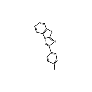 Cc1ccc(-c2cn3c(n2)sc2cnccc23)cc1